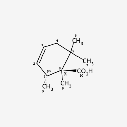 C[C@@H]1C=CCC(C)(C)[C@@]1(C)C(=O)O